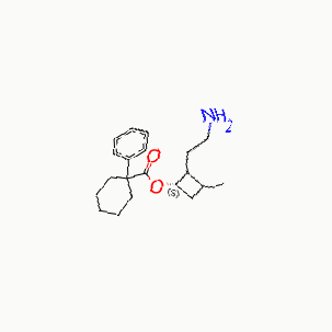 CC1C[C@H](OC(=O)C2(c3ccccc3)CCCCC2)C1CCN